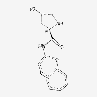 O=C(Nc1ccc2ccccc2c1)[C@H]1CC(O)CN1